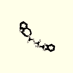 S=C(Nc1nc2ccccc2s1)SSC(=S)N1CCc2cccc3sc1nc23